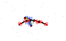 C=CC(=O)OCCCCCCOc1ccc(C(=O)OCCc2ccc(CCc3cc(/C=N/Nc4nc5ccccc5s4)c(OC(=O)c4ccc(OCCCCCCOC(=O)C=C)cc4)c(/C=N/Nc4nc5ccccc5s4)c3)c(Cl)c2)cc1